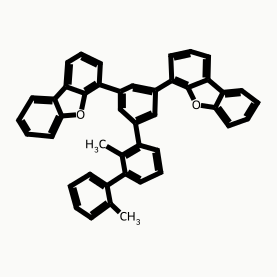 Cc1ccccc1-c1cccc(-c2cc(-c3cccc4c3oc3ccccc34)cc(-c3cccc4c3oc3ccccc34)c2)c1C